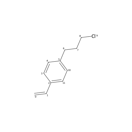 C=Cc1ccc(CCCCl)cc1